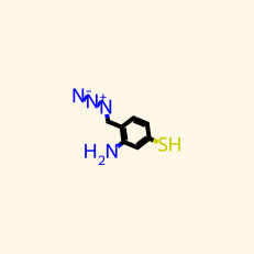 [N-]=[N+]=NCc1ccc(S)cc1N